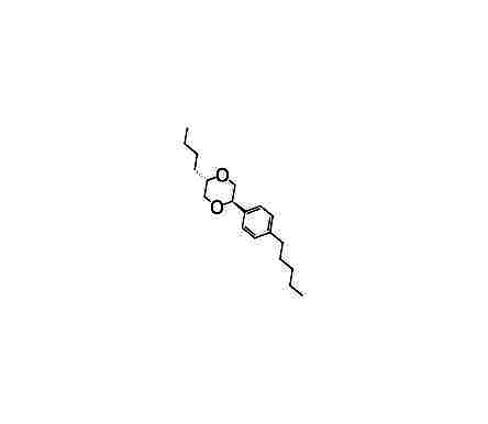 CCCCCc1ccc([C@@H]2CO[C@@H](CCCC)CO2)cc1